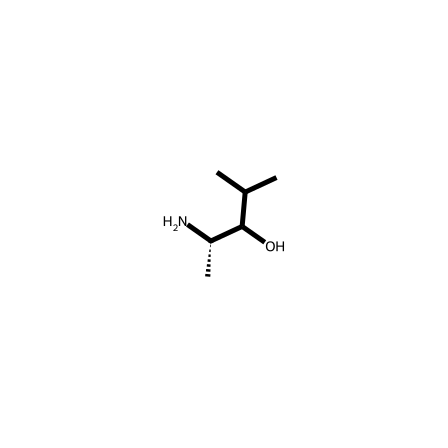 CC(C)C(O)[C@H](C)N